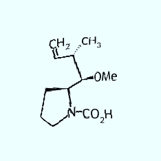 C=C[C@H](C)[C@@H](OC)[C@@H]1CCCN1C(=O)O